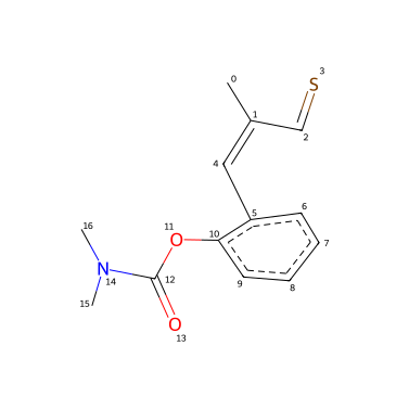 CC(C=S)=Cc1ccccc1OC(=O)N(C)C